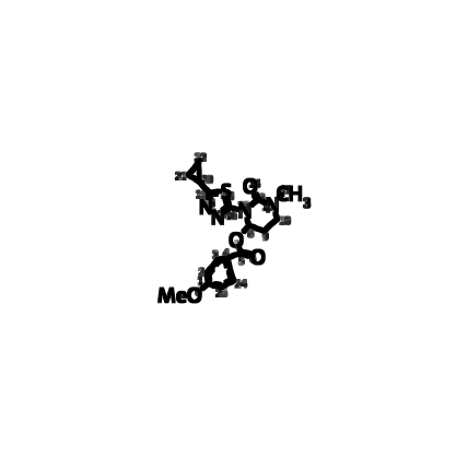 COc1ccc(C(=O)OC2CCN(C)C(=O)N2c2nnc(C3CC3)s2)cc1